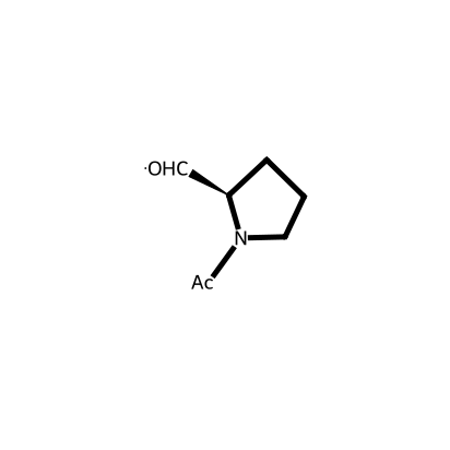 CC(=O)N1CCC[C@@H]1[C]=O